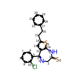 S=C1CN=C(c2ccccc2Cl)c2cc(CCc3ccccc3)sc2N1